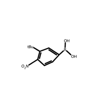 CC(C)(C)c1cc(B(O)O)ccc1[N+](=O)[O-]